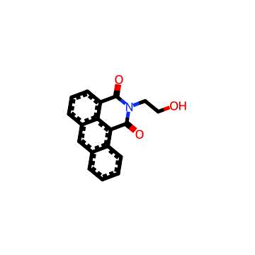 O=C1c2cccc3cc4ccccc4c(c23)C(=O)N1CCO